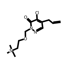 C=CCc1cnn(COCC[Si](C)(C)C)c(=O)c1Cl